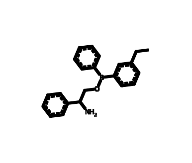 CCc1cccc(B(OCC(N)c2ccccc2)c2ccccc2)c1